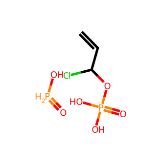 C=CC(Cl)OP(=O)(O)O.O=[PH2]O